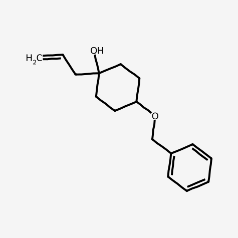 C=CCC1(O)CCC(OCc2ccccc2)CC1